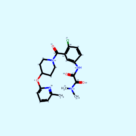 Cc1cccc(OC2CCN(C(=O)c3cc(NC(=O)C(=O)N(C)C)ccc3Cl)CC2)n1